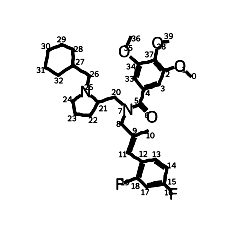 COc1cc(C(=O)N(C/C(C)=C/c2ccc(F)cc2F)CC2CCCN2CC2CCCCC2)cc(OC)c1OC